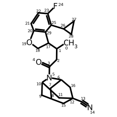 CC(CC(=O)N1C2CC3CC1CC(C#N)(C3)C2)C1COc2ccc(F)c(C3CC3)c21